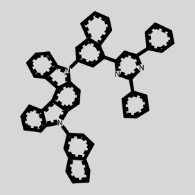 c1ccc(-c2cc(-c3cc(-n4c5ccccc5c5c6c7ccccc7n(-c7ccc8ccccc8c7)c6ccc54)cc4ccccc34)nc(-c3ccccc3)n2)cc1